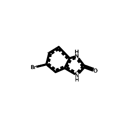 O=c1[nH]c2c[c]c(Br)cc2[nH]1